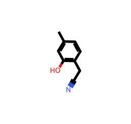 Cc1ccc(CC#N)c(O)c1